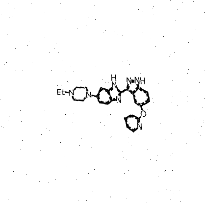 CCN1CCN(c2ccc3nc(-c4n[nH]c5ccc(Oc6ccccn6)cc45)[nH]c3c2)CC1